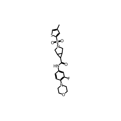 Cc1csc(S(=O)(=O)N2CC3C(C2)C3C(=O)Nc2ccc(N3CCOCC3)c(F)c2)c1